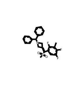 Cc1c(F)c(F)cc(C(=C2CN(C(c3ccccc3)c3ccccc3)C2)S(C)(=O)=O)c1F